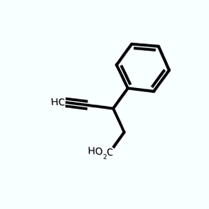 C#CC(CC(=O)O)c1ccccc1